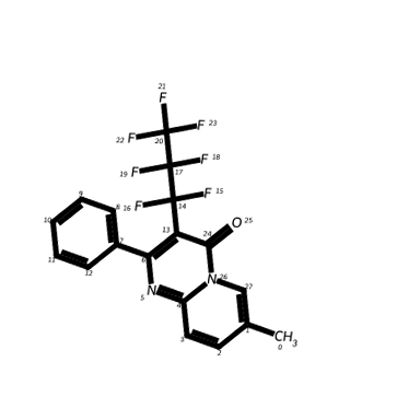 Cc1ccc2nc(-c3ccccc3)c(C(F)(F)C(F)(F)C(F)(F)F)c(=O)n2c1